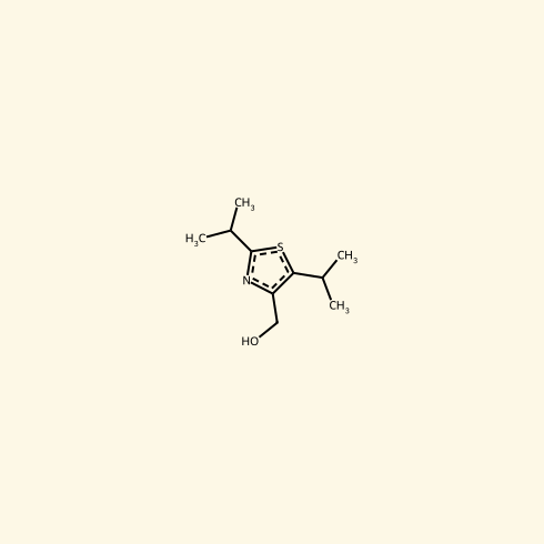 CC(C)c1nc(CO)c(C(C)C)s1